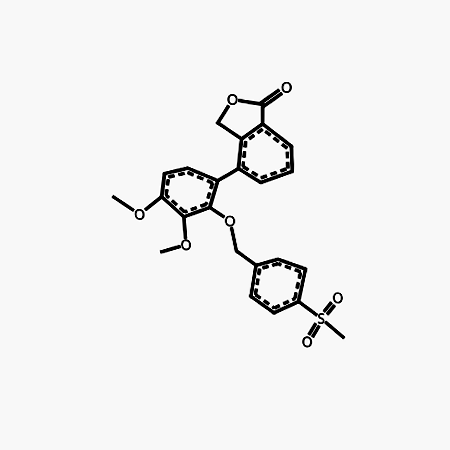 COc1ccc(-c2cccc3c2COC3=O)c(OCc2ccc(S(C)(=O)=O)cc2)c1OC